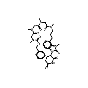 CN(CCCc1cccc2c1n(C)c(=O)n2C1CCC(=O)NC1=O)C(=O)CN(C)C(=O)CN(C)C(=O)CN(C)C(=O)OCc1ccccc1